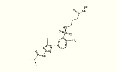 COc1ccc(-c2sc(NC(=O)C(C)C)nc2C)cc1S(=O)(=O)NCCCC(=O)NO